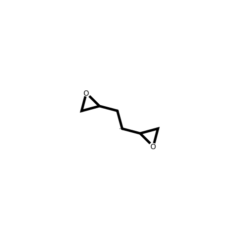 [CH](CC1CO1)C1CO1